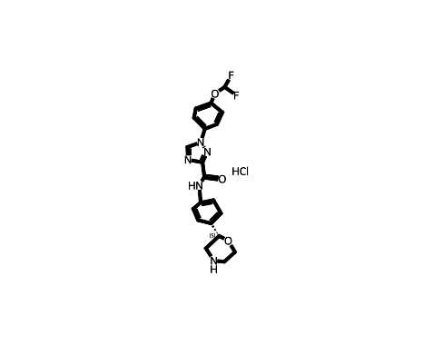 Cl.O=C(Nc1ccc([C@H]2CNCCO2)cc1)c1ncn(-c2ccc(OC(F)F)cc2)n1